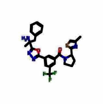 Cc1csc(C2CCCN2C(=O)c2cc(-c3nnc(C(C)(N)Cc4ccccc4)o3)cc(C(F)(F)F)c2)n1